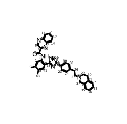 Cc1cc(NC(=O)c2cnc3ccccc3n2)c(-c2nnn(-c3ccc(CCN4CCc5ccccc5C4)cc3)n2)cc1C